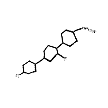 CCCCCC1CCC(C2CCC(C3CCC(CC)CC3)CC2F)CC1